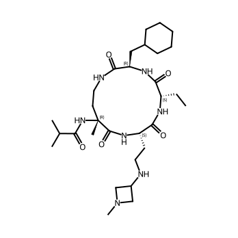 CC[C@@H]1NC(=O)[C@H](CCNC2CN(C)C2)NC(=O)[C@](C)(NC(=O)C(C)C)CCNC(=O)[C@@H](CC2CCCCC2)NC1=O